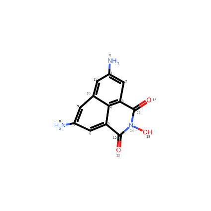 Nc1cc2c3c(cc(N)cc3c1)C(=O)N(O)C2=O